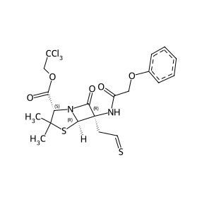 CC1(C)S[C@H]2N(C(=O)[C@@]2(CC=S)NC(=O)COc2ccccc2)[C@H]1C(=O)OCC(Cl)(Cl)Cl